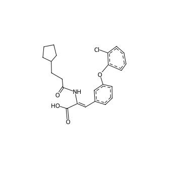 O=C(CCC1CCCC1)NC(=Cc1cccc(Oc2ccccc2Cl)c1)C(=O)O